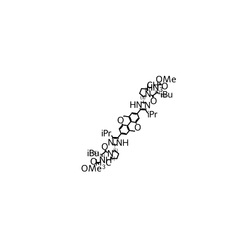 CC[C@H](C)[C@H](NC(=O)OC)C(=O)N1[C@@H](C)CC[C@H]1c1nc(C(C)C)c(-c2cc3c4c(c2)OCc2cc(-c5[nH]c([C@@H]6CC[C@H](C)N6C(=O)[C@@H](NC(=O)OC)[C@@H](C)CC)nc5C(C)C)cc(c2-4)OC3)[nH]1